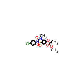 CCOC(=O)[C@@H](C)Oc1ccc2c(c1)N(C)C(=O)N(c1ccc(Cl)cc1)S2(=O)=O